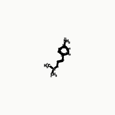 CN(C)C/C=C/c1ccc(N)cc1